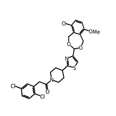 COc1ccc(Cl)c2c1COC(c1csc(C3CCN(C(=O)Cc4cc(Cl)ccc4Cl)CC3)n1)OC2